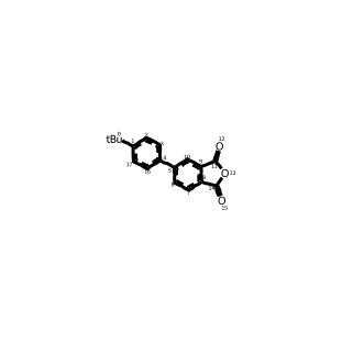 CC(C)(C)c1ccc(-c2ccc3c(c2)C(=O)OC3=O)cc1